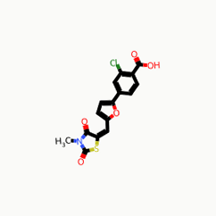 CN1C(=O)S/C(=C/c2ccc(-c3ccc(C(=O)O)c(Cl)c3)o2)C1=O